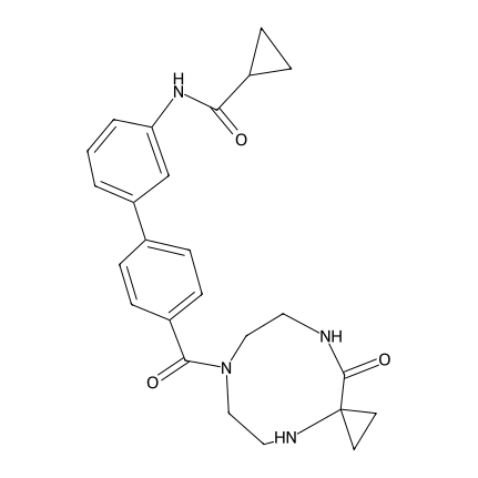 O=C(Nc1cccc(-c2ccc(C(=O)N3CCNC(=O)C4(CC4)NCC3)cc2)c1)C1CC1